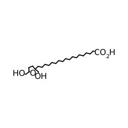 O=C(O)CCCCCCCCCCCCCCCCCC1(CO)CCC(CO)O1